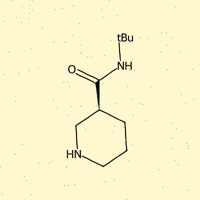 CC(C)(C)NC(=O)[C@H]1CCCNC1